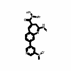 CCCN(CCC)C(=O)C1=Cc2ccc(-c3cncc([S+](C)[O-])c3)cc2N=C(NI)C1